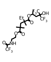 CCC(C)(CC(C)(C)C(=O)OCCNC(=O)C(F)(F)F)C(=O)OC(C)CC(O)(C(F)(F)F)C(F)(F)F